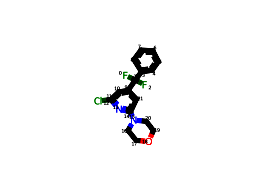 FC(F)(c1ccccc1)c1cc(Cl)nc(N2CCOCC2)c1